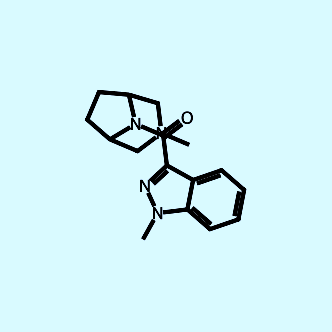 CN1CC2CCC(C1)N2C(=O)c1nn(C)c2ccccc12